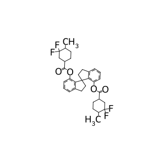 CC1CCC(C(=O)Oc2cccc3c2C2(CC3)CCc3cccc(OC(=O)C4CCC(C)C(F)(F)C4)c32)CC1(F)F